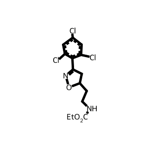 CCOC(=O)NCCC1CC(c2c(Cl)cc(Cl)cc2Cl)=NO1